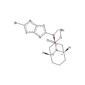 CN(c1nc2sc(Br)nc2s1)[C@@H]1C[C@H]2CCC[C@@H](C1)N2C(=O)OC(C)(C)C